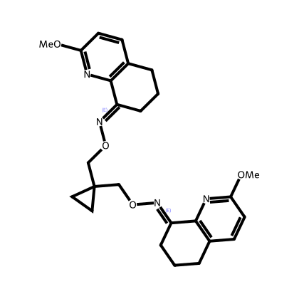 COc1ccc2c(n1)/C(=N/OCC1(CO/N=C3\CCCc4ccc(OC)nc43)CC1)CCC2